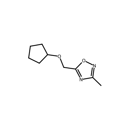 Cc1noc(COC2CCCC2)n1